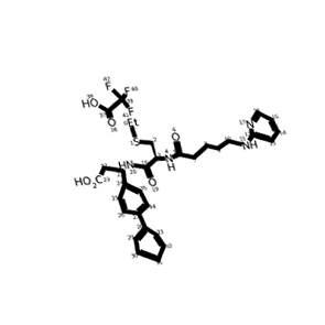 CCSC[C@@H](NC(=O)CCCCNc1ccccn1)C(=O)NC(CC(=O)O)c1ccc(-c2ccccc2)cc1.O=C(O)C(F)(F)F